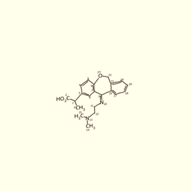 CC(C(=O)O)c1ccc2c(c1)C(=NCCN(C)C)c1ccccc1CO2